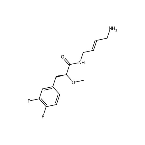 CO[C@@H](Cc1ccc(F)c(F)c1)C(=O)NC/C=C/CN